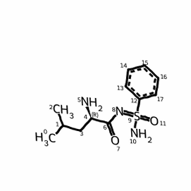 CC(C)C[C@@H](N)C(=O)N=S(N)(=O)c1ccccc1